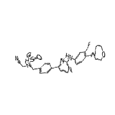 N#CCN(Cc1ccc(-c2ccnc(Nc3ccc(N4CCOCC4)c(F)c3)n2)cc1)[SH](=O)=O